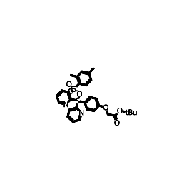 Cc1ccc(S(=O)(=O)OS(c2ccc(OCC(=O)OC(C)(C)C)cc2)(c2ccccn2)c2ccccn2)c(C)c1